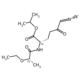 CCO[C@@H](C)C(=O)N[C@@H](CCC(=O)C=[N+]=[N-])C(=O)OC(C)C